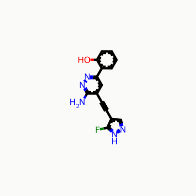 Nc1nnc(-c2ccccc2O)cc1C#Cc1cn[nH]c1F